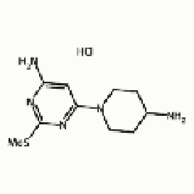 CSc1nc(N)cc(N2CCC(N)CC2)n1.Cl